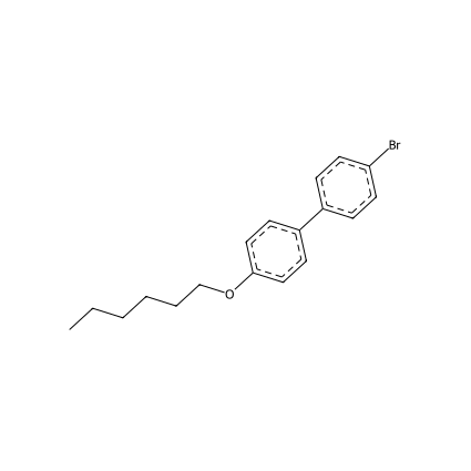 CCCCCCOc1ccc(-c2ccc(Br)cc2)cc1